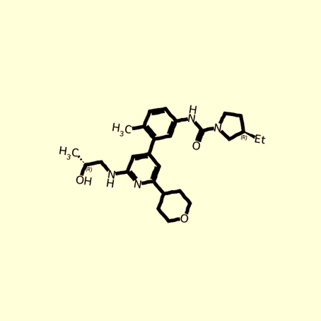 CC[C@@H]1CCN(C(=O)Nc2ccc(C)c(-c3cc(NC[C@@H](C)O)nc(C4CCOCC4)c3)c2)C1